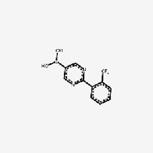 OB(O)c1cnc(-c2ccccc2C(F)(F)F)nc1